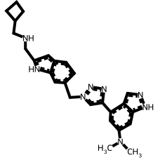 CN(C)c1cc(-c2cn(Cc3ccc4cc(CNCC5CCC5)[nH]c4c3)nn2)c2cn[nH]c2c1